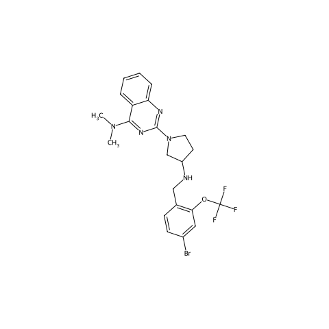 CN(C)c1nc(N2CCC(NCc3ccc(Br)cc3OC(F)(F)F)C2)nc2ccccc12